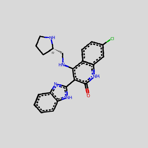 O=c1[nH]c2cc(Cl)ccc2c(NC[C@@H]2CCCN2)c1-c1nc2ccccc2[nH]1